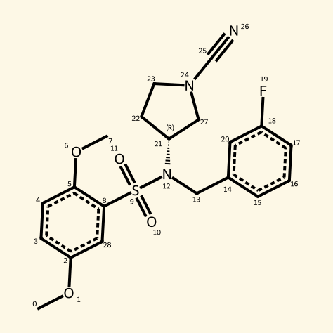 COc1ccc(OC)c(S(=O)(=O)N(Cc2cccc(F)c2)[C@@H]2CCN(C#N)C2)c1